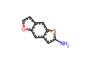 Nc1cc2cc3occc3cc2s1